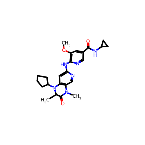 COc1cc(C(=O)NC2CC2)cnc1Nc1cc2c(cn1)N(C)C(=O)C(C)N2C1CCCC1